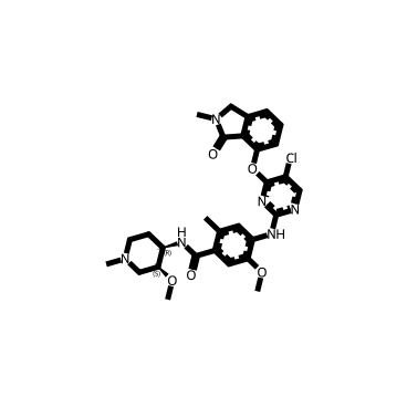 COc1cc(C(=O)N[C@@H]2CCN(C)C[C@@H]2OC)c(C)cc1Nc1ncc(Cl)c(Oc2cccc3c2C(=O)N(C)C3)n1